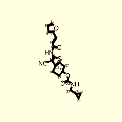 N#Cc1c(NC(=O)C=Cc2ccco2)sc2c1CCC(OC(=O)NCC1CC1)C2